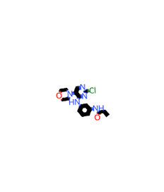 C=CC(=O)Nc1cccc(Nc2nc(Cl)ncc2N2CCOCC2)c1